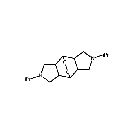 CC(C)N1CC2C3CCC(C2C1)C1CN(C(C)C)CC31